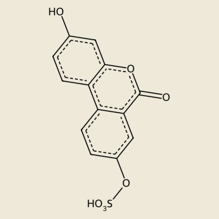 O=c1oc2cc(O)ccc2c2ccc(OS(=O)(=O)O)cc12